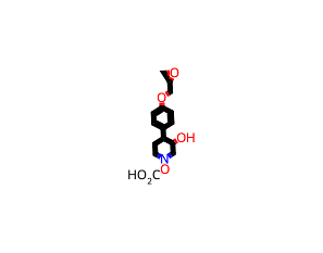 O=C(O)ON1CCC(c2ccc(OCC3CO3)cc2)C(O)C1